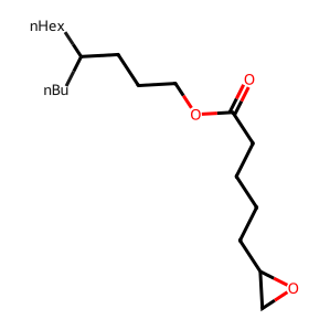 CCCCCCC(CCCC)CCCOC(=O)CCCCC1CO1